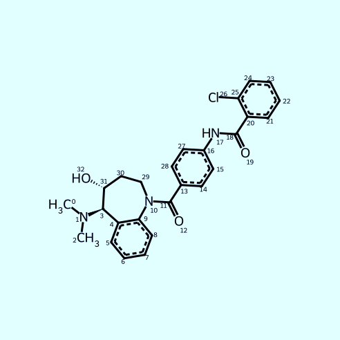 CN(C)[C@@H]1c2ccccc2N(C(=O)c2ccc(NC(=O)c3ccccc3Cl)cc2)CC[C@H]1O